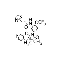 CC1(C)C(=O)N(c2ccc(OC(F)(F)F)c(NC(=O)CCc3nccs3)c2)C(=O)N1Cc1ccncc1